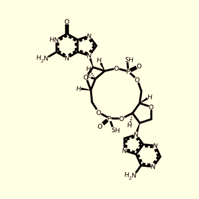 Nc1nc2c(ncn2[C@@H]2O[C@H]3COP(=O)(S)O[C@H]4[C@H](COP(=O)(S)O[C@@H]2[C@@H]3F)OC[C@H]4n2cnc3c(N)ncnc32)c(=O)[nH]1